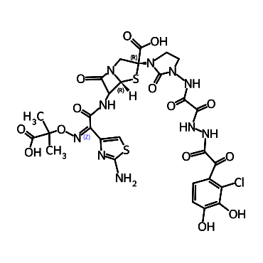 CC(C)(O/N=C(\C(=O)NC1C(=O)N2C[C@@](C(=O)O)(N3CCN(NC(=O)C(=O)NNC(=O)C(=O)c4ccc(O)c(O)c4Cl)C3=O)S[C@H]12)c1csc(N)n1)C(=O)O